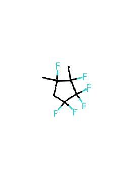 CC1(F)CC(F)(F)C(F)(F)C1(C)F